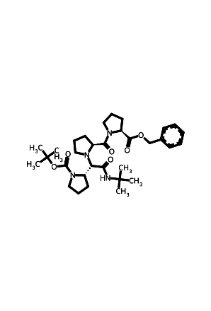 CC(C)(C)NC(=O)C([C@@H]1CCCN1C(=O)OC(C)(C)C)N1CCC[C@H]1C(=O)N1CCC[C@H]1C(=O)OCc1ccccc1